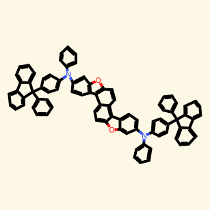 c1ccc(N(c2ccc(C3(c4ccccc4)c4ccccc4-c4ccccc43)cc2)c2ccc3c(c2)oc2ccc4c(ccc5oc6cc(N(c7ccccc7)c7ccc(C8(c9ccccc9)c9ccccc9-c9ccccc98)cc7)ccc6c54)c23)cc1